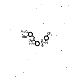 COc1ccc(C=C2C(=O)Nc3ccc(S(=O)(=O)Nc4ccc(C(F)(F)F)cc4)cc32)cc1C(C)(C)C